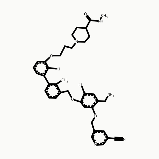 CNC(=O)C1CCN(CCCOc2cccc(-c3cccc(COc4cc(OCc5cncc(C#N)c5)c(CN)cc4Cl)c3C)c2Cl)CC1